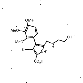 COc1ccc(-c2c(CNCCO)[nH]c(C(=O)O)c2Br)c(OC)c1OC